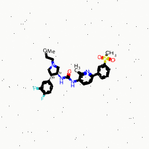 COCCN1C[C@@H](NC(=O)Nc2ccc(-c3cccc(S(C)(=O)=O)c3)nc2C)[C@H](c2ccc(F)c(F)c2)C1